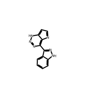 c1ccc2c(-c3nn[nH]c4ccnc3-4)n[nH]c2c1